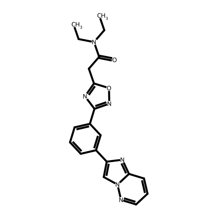 CCN(CC)C(=O)Cc1nc(-c2cccc(-c3cn4ncccc4n3)c2)no1